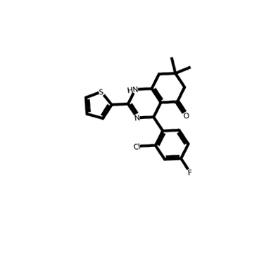 CC1(C)CC(=O)C2=C(C1)NC(c1cccs1)=NC2c1ccc(F)cc1Cl